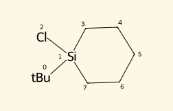 CC(C)(C)[Si]1(Cl)CCCCC1